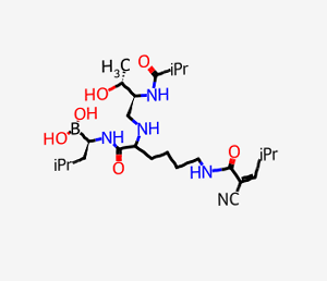 CC(C)C=C(C#N)C(=O)NCCCCC(NC[C@H](NC(=O)C(C)C)[C@@H](C)O)C(=O)N[C@@H](CC(C)C)B(O)O